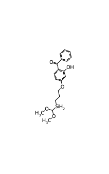 COC(OC)[SiH2]CCCOc1ccc(C(=O)c2ccccc2)c(O)c1